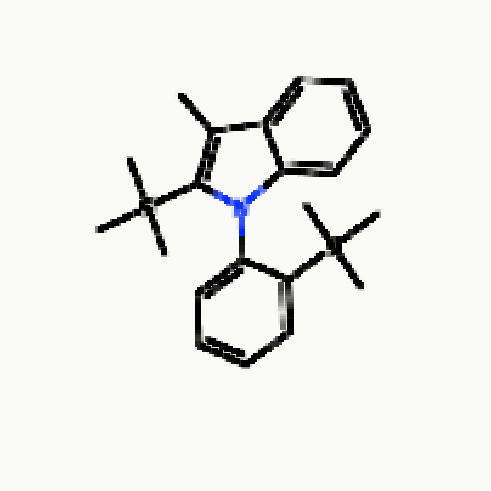 Cc1c([Si](C)(C)C)n(-c2ccccc2[Si](C)(C)C)c2ccccc12